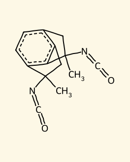 CC1(N=C=O)Cc2c3ccc1c2C(C)(N=C=O)C3